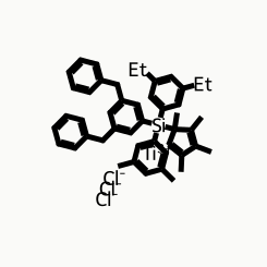 CCc1cc(CC)cc([Si](c2cc(C)cc(C)c2)(c2cc(Cc3ccccc3)cc(Cc3ccccc3)c2)C2(C)C(C)=C(C)C(C)=[C]2[Ti+3])c1.[Cl-].[Cl-].[Cl-]